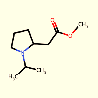 COC(=O)CC1CCCN1C(C)C